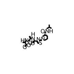 C=C(NC(=O)c1csc(N2CCC[C@H](C(=O)NCC(C)C)C2)n1)C(=O)NC(=C)C(=O)OC